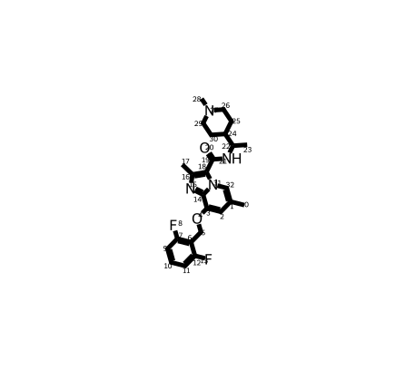 Cc1cc(OCc2c(F)cccc2F)c2nc(C)c(C(=O)NC(C)C3CCN(C)CC3)n2c1